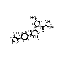 Cc1ncsc1-c1ccc(C(C)NC(=O)[C@H]2C[C@@H](O)CN2C(=O)C(N)C(C)(C)C)cc1